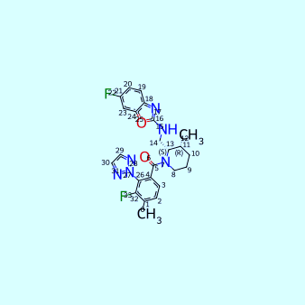 Cc1ccc(C(=O)N2CCC[C@@H](C)[C@H]2CNc2nc3ccc(F)cc3o2)c(-n2nccn2)c1F